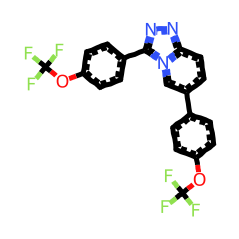 FC(F)(F)Oc1ccc(-c2ccc3nnc(-c4ccc(OC(F)(F)F)cc4)n3c2)cc1